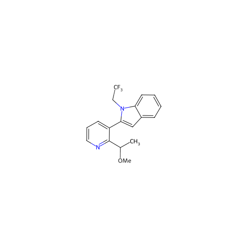 COC(C)c1ncccc1-c1cc2ccccc2n1CC(F)(F)F